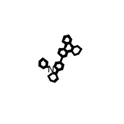 C1=Cc2c(n(-c3ccccc3)c3cc(-c4ccc5c(c4)c4c(c6ccccc65)CCCC4)ccc23)CC1